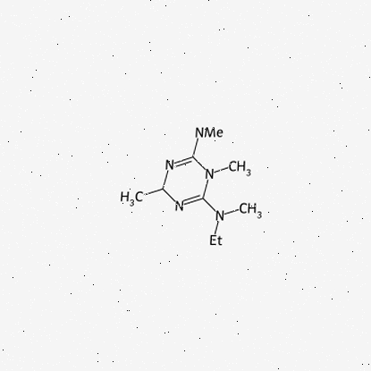 CCN(C)C1=NC(C)N=C(NC)N1C